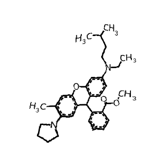 CCN(CCC(C)C)c1ccc2c(c1)Oc1cc(C)c(N3CCCC3)cc1C2c1ccccc1C(=O)OC